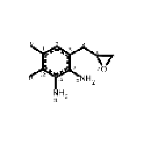 Cc1cc(CC2CO2)c(N)c(N)c1C